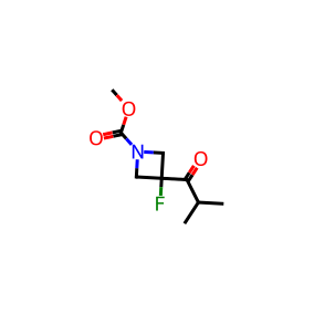 COC(=O)N1CC(F)(C(=O)C(C)C)C1